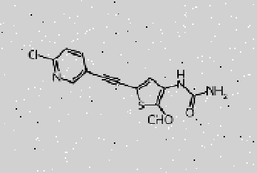 NC(=O)Nc1cc(C#Cc2ccc(Cl)nc2)sc1C=O